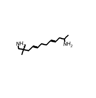 CC(N)C/C=C/CC/C=C/CC(C)(C)CN